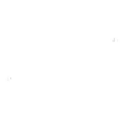 CCC#CCCCc1ccc(C#Cc2ccc(-c3ccc(CCC)cc3)cc2)cc1